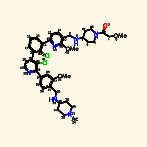 COCC(=O)N1CCC(NCc2ccc(-c3cccc(-c4ccnc(-c5ccc(CNC6CCN(C(C)=O)CC6)c(OC)c5)c4Cl)c3Cl)nc2OC)CC1